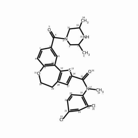 CC1CN(C(=O)c2ccc3c(c2)-c2sc(C(=O)N(C)c4ccc(Cl)cc4Cl)cc2CCO3)CC(C)N1